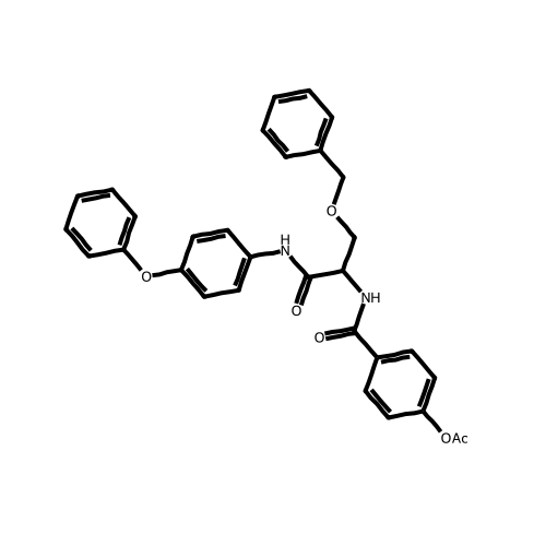 CC(=O)Oc1ccc(C(=O)NC(COCc2ccccc2)C(=O)Nc2ccc(Oc3ccccc3)cc2)cc1